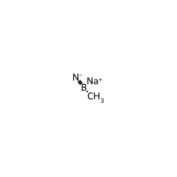 CB=[N-].[Na+]